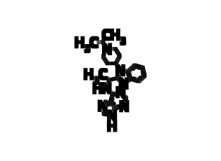 CC(Nc1ncnc2[nH]cnc12)c1nc2ccccc2n1C1CCN(C(C)C)CC1